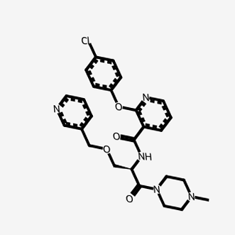 CN1CCN(C(=O)[C@@H](COCc2cccnc2)NC(=O)c2cccnc2Oc2ccc(Cl)cc2)CC1